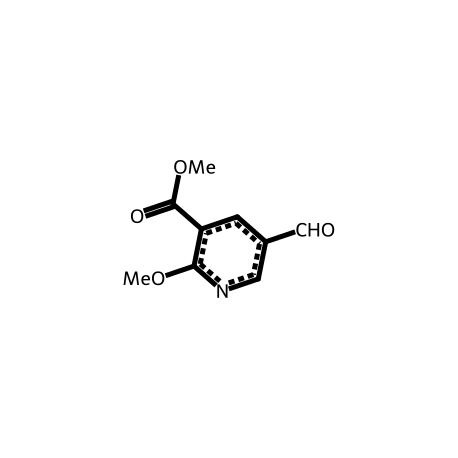 COC(=O)c1cc(C=O)cnc1OC